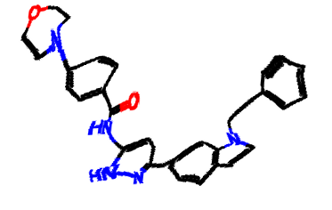 O=C(Nc1cc(-c2ccc3ccn(Cc4ccccc4)c3c2)n[nH]1)c1ccc(N2CCOCC2)cc1